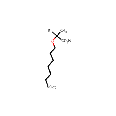 CCCCCCCCCCCCCCOC(C)(CC)C(=O)O